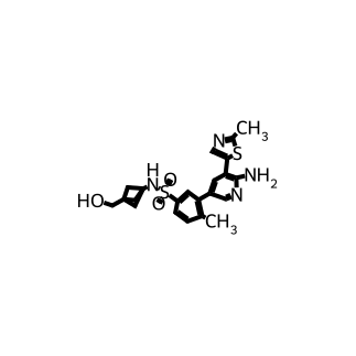 Cc1ncc(-c2cc(-c3cc(S(=O)(=O)NC45CC(CO)(C4)C5)ccc3C)cnc2N)s1